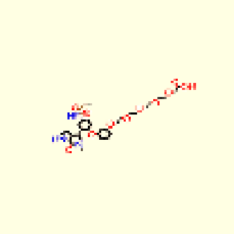 CCS(=O)(=O)Nc1ccc(Oc2cccc(OCCOCCOCCOCCOCC(=O)O)c2)c(-c2cn(C)c(=O)c3[nH]ccc23)c1